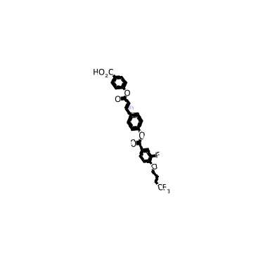 O=C(/C=C/c1ccc(OC(=O)c2ccc(OCCCC(F)(F)F)c(F)c2)cc1)Oc1ccc(C(=O)O)cc1